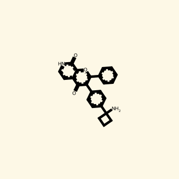 NC1(c2ccc(-c3c(-c4ccccc4)oc4c(=O)[nH]ccc4c3=O)cc2)CCC1